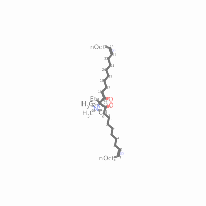 CCCCCCCC/C=C\CCCCCCCC(=O)C(CC)(C(=O)CCCCCCC/C=C\CCCCCCCC)[N+](C)(C)C